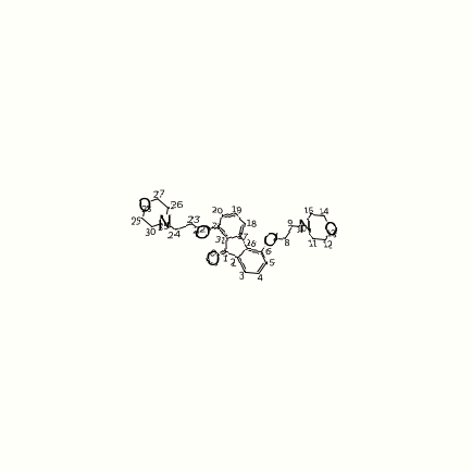 O=C1c2cccc(OCCN3CCOCC3)c2-c2cccc(OCCN3CCOCC3)c21